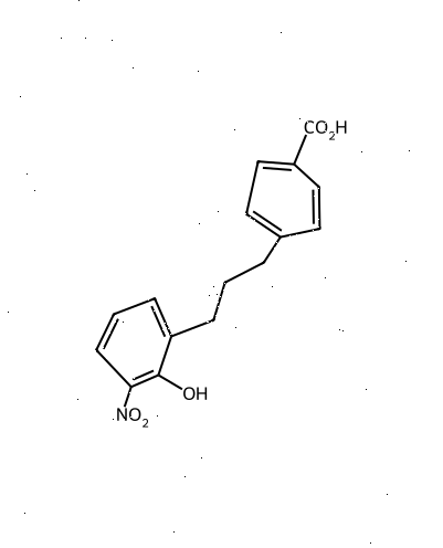 O=C(O)c1ccc(CCCc2cccc([N+](=O)[O-])c2O)cc1